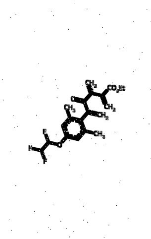 C=C(C(=C)C(=O)C(=C)c1c(C)cc(OC(F)C(F)F)cc1C)C(=O)OCC